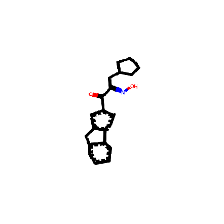 O=C(C(CC1CCCC1)=NO)c1ccc2c(c1)Cc1ccccc1-2